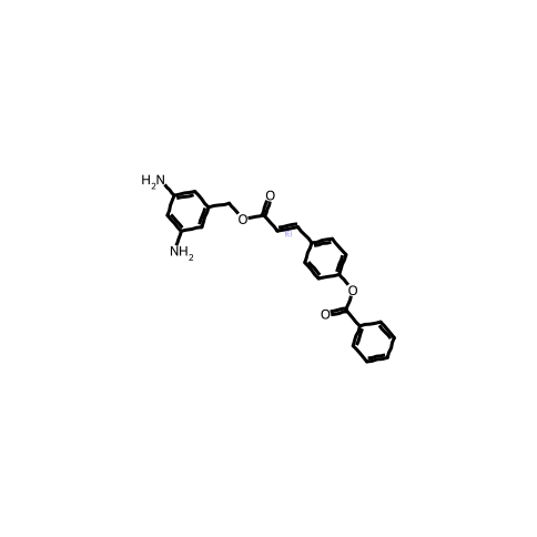 Nc1cc(N)cc(COC(=O)/C=C/c2ccc(OC(=O)c3ccccc3)cc2)c1